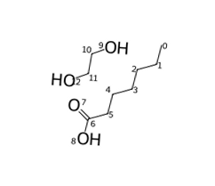 CCCCCCC(=O)O.OCCO